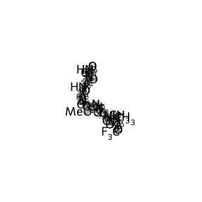 COc1cc2c(Oc3ccc(NC(=O)c4c(C)n(C)c5ccc(OC(F)(F)F)cc5c4=O)cc3F)ncnc2cc1OCC(=O)N1CCC(CC(=O)Nc2ccc3c(c2)CN(C2CCC(=O)NC2=O)C3=O)CC1